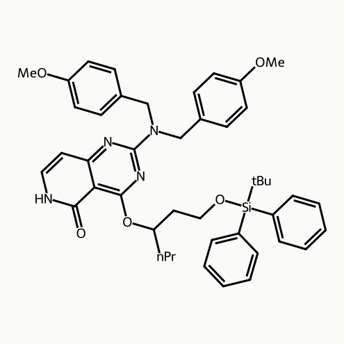 CCCC(CCO[Si](c1ccccc1)(c1ccccc1)C(C)(C)C)Oc1nc(N(Cc2ccc(OC)cc2)Cc2ccc(OC)cc2)nc2cc[nH]c(=O)c12